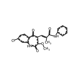 COc1c(/C=C(\C)C(=O)Nc2ccccc2)c(=O)c2ccc(Cl)cc2[nH]c1=O